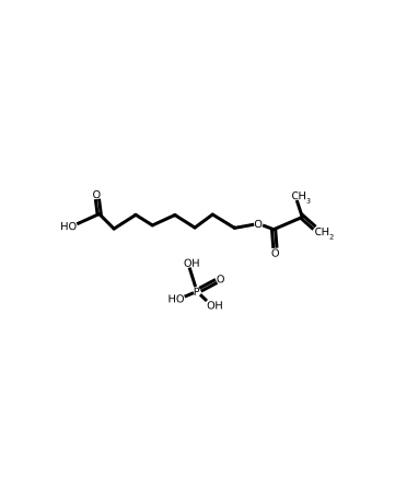 C=C(C)C(=O)OCCCCCCCC(=O)O.O=P(O)(O)O